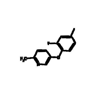 Cc1ccc(Oc2ccc(C(F)(F)F)nc2)c(F)c1